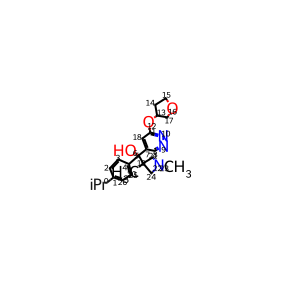 CC(C)c1ccc(C(O)(c2cnnc(OC3CCOC3)c2)C2(C)CN(C)C2)cc1